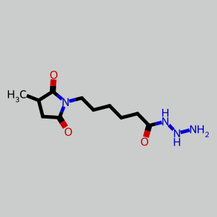 CC1CC(=O)N(CCCCCC(=O)NNN)C1=O